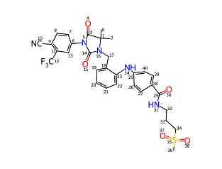 CC1(C)C(=O)N(c2ccc(C#N)c(C(F)(F)F)c2)C(=O)N1Cc1ccccc1Nc1ccc(C(=O)NCCCS(C)(=O)=O)cc1